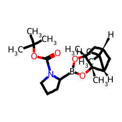 CC(C)(C)OC(=O)N1CCCC1B1O[C@]2(C)C[C@@H]3C[C@@H](C3(C)C)[C@]2(C)O1